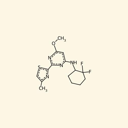 COc1cc(NC2CCCCC2(F)F)nc(-c2nc(C)cs2)n1